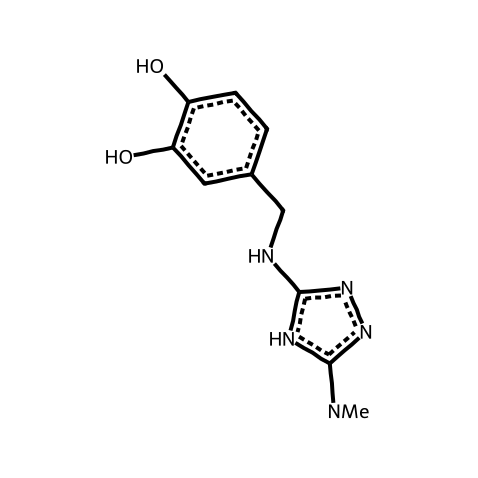 CNc1nnc(NCc2ccc(O)c(O)c2)[nH]1